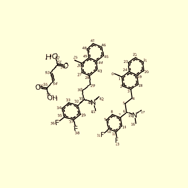 Cc1cc(CCC(c2ccc(F)c(F)c2)N(C)C)cc2ccccc12.Cc1cc(CCC(c2ccc(F)c(F)c2)N(C)C)cc2ccccc12.O=C(O)C=CC(=O)O